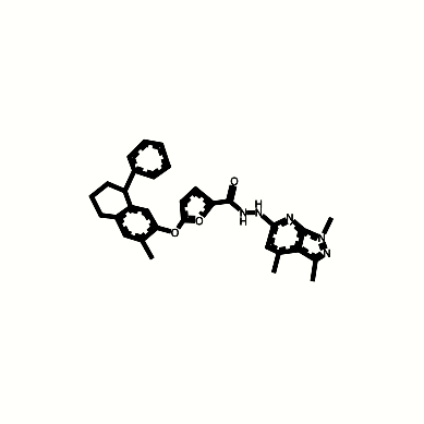 Cc1cc2c(cc1Oc1ccc(C(=O)NNc3cc(C)c4c(C)nn(C)c4n3)o1)C(c1ccccc1)CCC2